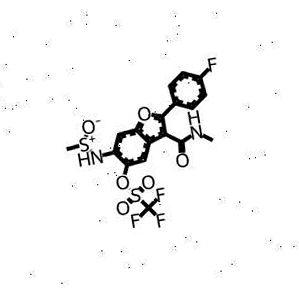 CNC(=O)c1c(-c2ccc(F)cc2)oc2cc(N[S+](C)[O-])c(OS(=O)(=O)C(F)(F)F)cc12